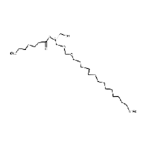 CCCCCCCCCCCCCCCC(=O)O[C@H](CO)COCOCCCCCCCCCCCCCCNC(C)=O